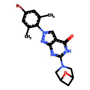 Cc1cc(Br)cc(C)c1-n1cc2c(=O)[nH]c(N3CC4CC(C3)O4)nc2n1